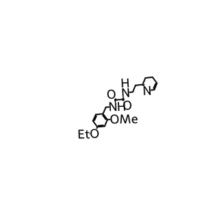 CCOc1ccc(CNC(=O)C(=O)NCCC2=NC=CCC2)c(OC)c1